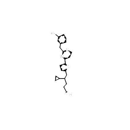 C#CCCC(Cc1ccc(-c2ccnc(Cc3cccc(C(C)C)c3)n2)s1)C1CC1